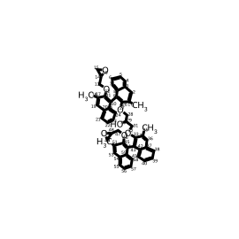 Cc1cc2ccccc2c(-c2c(OCC3CO3)c(C)cc3ccccc23)c1OCC(O)COc1c(C)cc2ccccc2c1-c1c(OCC2CO2)c(C)cc2ccccc12